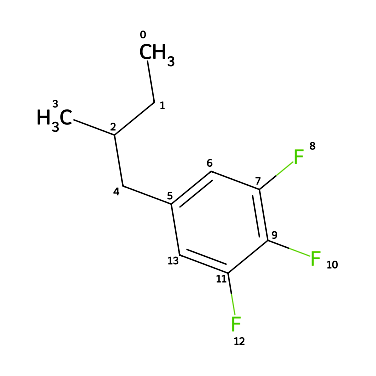 CCC(C)Cc1cc(F)c(F)c(F)c1